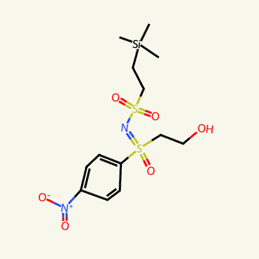 C[Si](C)(C)CCS(=O)(=O)N=S(=O)(CCO)c1ccc([N+](=O)[O-])cc1